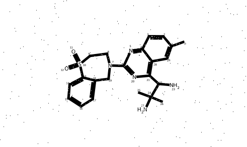 Cc1ccc2nc(N3CCS(=O)(=O)c4ccccc4C3)nc(C(N)C(C)(C)N)c2c1